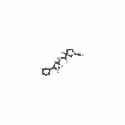 N#CN1CCC(F)(C(=O)Nc2nnc(-c3ccccc3)s2)C1